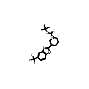 C[C@@H]1CCC(c2nc3cc(C(F)(F)F)ccc3o2)CN1C(=O)OC(C)(C)C